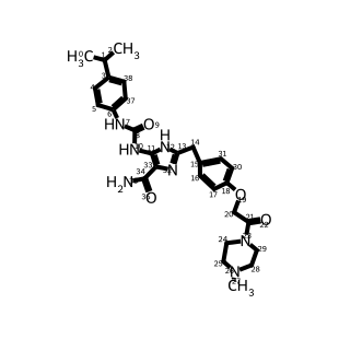 CC(C)c1ccc(NC(=O)Nc2[nH]c(Cc3ccc(OCC(=O)N4CCN(C)CC4)cc3)nc2C(N)=O)cc1